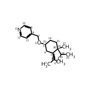 CC(C)=C1C[C@@H](OCc2ccncc2)CC[C@]1(C)C(C)C